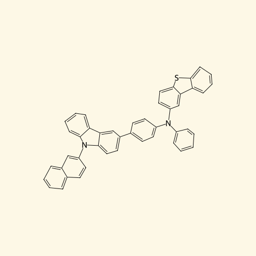 c1ccc(N(c2ccc(-c3ccc4c(c3)c3ccccc3n4-c3ccc4ccccc4c3)cc2)c2ccc3sc4ccccc4c3c2)cc1